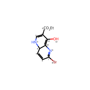 CCOC(=O)C1=CNC2C=CC(Br)=NC2=C1O